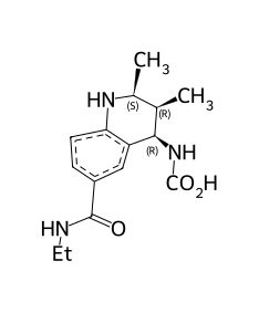 CCNC(=O)c1ccc2c(c1)[C@H](NC(=O)O)[C@H](C)[C@H](C)N2